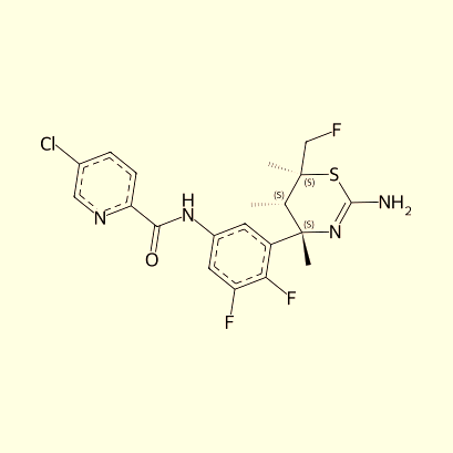 C[C@@H]1[C@@](C)(CF)SC(N)=N[C@]1(C)c1cc(NC(=O)c2ccc(Cl)cn2)cc(F)c1F